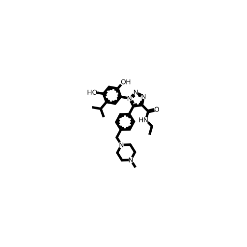 CCNC(=O)c1nnn(-c2cc(C(C)C)c(O)cc2O)c1-c1ccc(CN2CCN(C)CC2)cc1